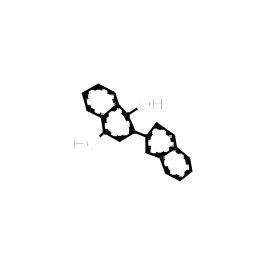 Oc1cc(-c2ccc3ccccc3c2)c(O)c2ccccc12